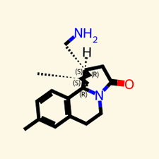 Cc1ccc2c(c1)CCN1C(=O)C[C@H]3[C@H](CN)[C@@H](C)C[C@]231